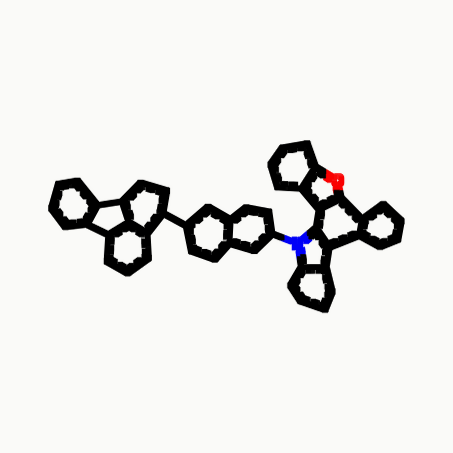 c1ccc2c(c1)-c1cccc3c(-c4ccc5cc(-n6c7ccccc7c7c8ccccc8c8oc9ccccc9c8c76)ccc5c4)ccc-2c13